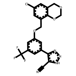 N#Cc1[nH]nnc1-c1cc(OCc2cc(Cl)cc3c2OCOC3)cc(C(F)(F)F)c1